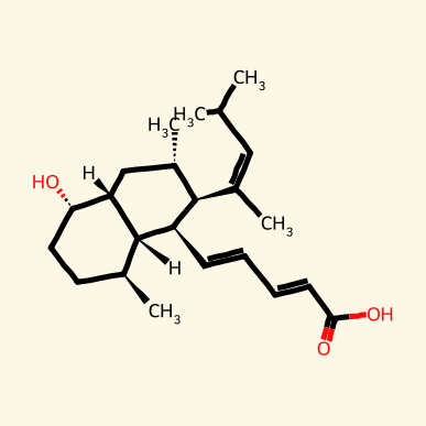 C/C(=C/C(C)C)[C@H]1[C@@H](/C=C/C=C/C(=O)O)[C@H]2[C@@H](C[C@@H]1C)[C@@H](O)CC[C@@H]2C